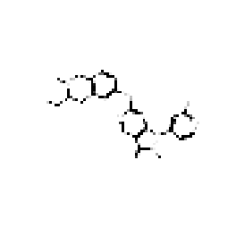 CC(C)n1c(=O)c2cnc(Nc3ccc4c(c3)CC(CO)N(C)C4)nc2n1-c1ccnc(C(C)(C)C)c1